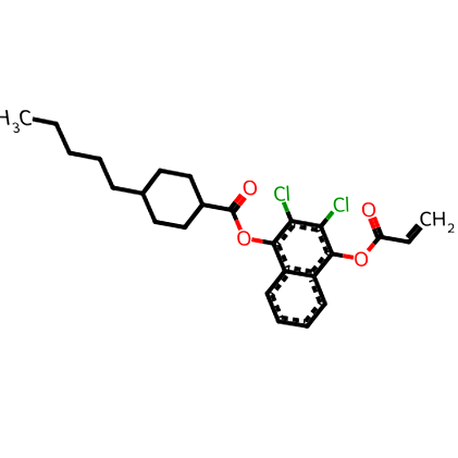 C=CC(=O)Oc1c(Cl)c(Cl)c(OC(=O)C2CCC(CCCCC)CC2)c2ccccc12